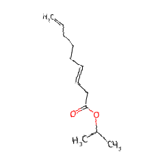 C=CCCCC=CCC(=O)OC(C)C